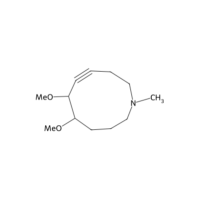 COC1C#CCCN(C)CCCC1OC